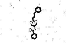 O=C(NC1COC(C=CCc2ccccc2)OC1)c1ccccc1